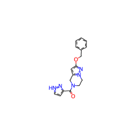 O=C(c1cc[nH]n1)N1CCn2nc(OCc3ccccc3)cc2C1